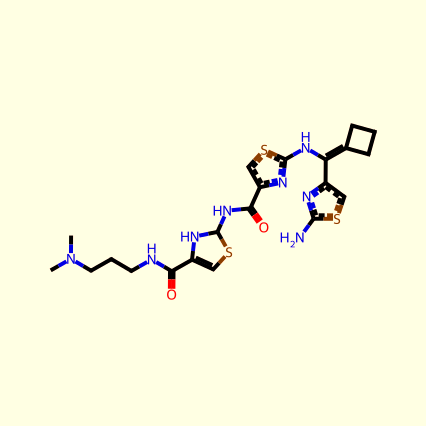 CN(C)CCCNC(=O)C1=CSC(NC(=O)c2csc(NC(=C3CCC3)c3csc(N)n3)n2)N1